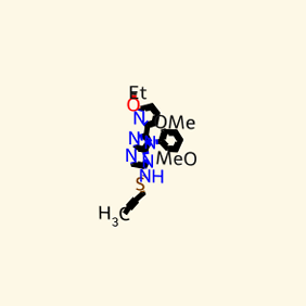 CC#CCSNc1cnc2nc(-c3cccc(OCC)n3)n(-c3c(OC)cccc3OC)c2n1